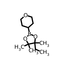 CCC1(C)OB(C2CCOCC2)OC1(C)C